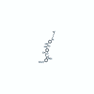 CCn1c(C)c(/C=C2\Oc3ccc(NC(=O)Nc4ccc(N(C)CCCCN(C)C)cc4)cc3C2=O)c2cc(OC)ccc21